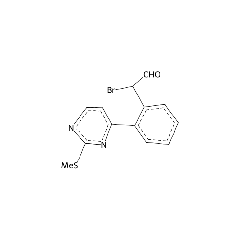 CSc1nccc(-c2ccccc2C(Br)C=O)n1